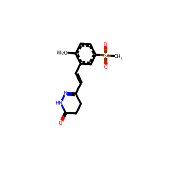 COc1ccc(S(C)(=O)=O)cc1C=CC1=NNC(=O)CC1